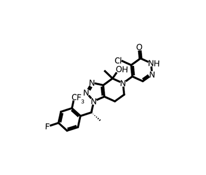 C[C@H](c1ccc(F)cc1C(F)(F)F)n1nnc2c1CCN(c1cn[nH]c(=O)c1Cl)C2(C)O